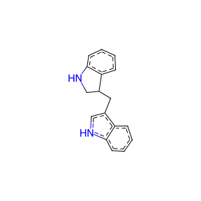 c1ccc2c(c1)NCC2Cc1c[nH]c2ccccc12